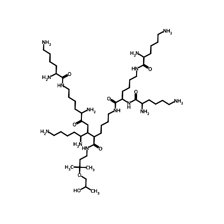 CC(O)COC(C)(C)CCNC(=O)C(CCCCNC(=O)C(CCCCNC(=O)C(N)CCCCN)NC(=O)C(N)CCCCN)C(CC(=O)C(N)CCCCNC(=O)C(N)CCCCN)C(N)CCCCN